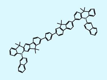 CC1(C)c2cc(-c3ccc(-c4ccc5c(c4)C(C)(C)c4cc6c(cc4-5)C(C)(C)c4ccccc4N6c4ccc5ccccc5c4)cc3)ccc2-c2ccc(-c3ccc4c(c3)N(c3ccc5ccccc5c3)c3ccccc3C4(C)C)cc21